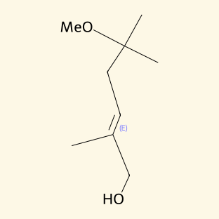 COC(C)(C)C/C=C(\C)CO